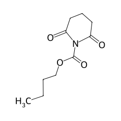 CCCCOC(=O)N1C(=O)CCCC1=O